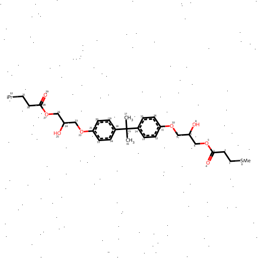 CSCCC(=O)OCC(O)COc1ccc(C(C)(C)c2ccc(OCC(O)COC(=O)CCC(C)C)cc2)cc1